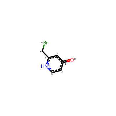 O=c1cc[nH]c(CBr)c1